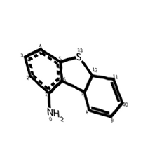 Nc1cccc2c1C1C=CC=CC1S2